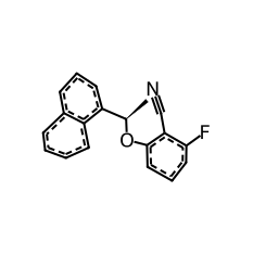 C[C@@H](Oc1cccc(F)c1C#N)c1cccc2ccccc12